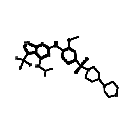 COc1cc(S(=O)(=O)N2CCC(N3CCOCC3)CC2)ccc1Nc1nc(NC(C)C)c2c(C(F)(F)F)c[nH]c2n1